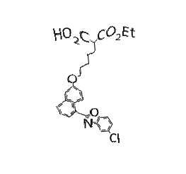 CCOC(=O)C(CCCCCOc1ccc2c(-c3nc4cc(Cl)ccc4o3)cccc2c1)C(=O)O